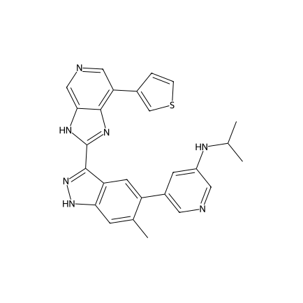 Cc1cc2[nH]nc(-c3nc4c(-c5ccsc5)cncc4[nH]3)c2cc1-c1cncc(NC(C)C)c1